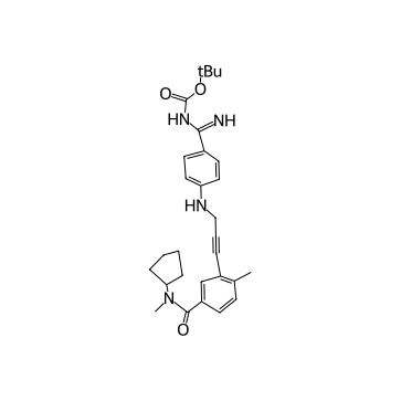 Cc1ccc(C(=O)N(C)C2CCCC2)cc1C#CCNc1ccc(C(=N)NC(=O)OC(C)(C)C)cc1